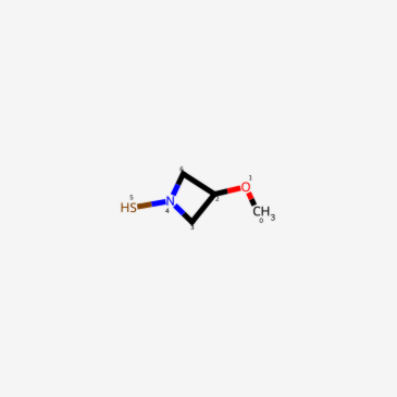 COC1CN(S)C1